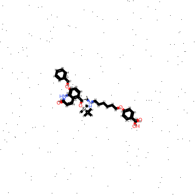 CC(C)(C)[Si](C)(C)O[C@@H](CNCCCCCCOc1ccc(C(=O)O)cc1)c1ccc(OCc2ccccc2)c2[nH]c(=O)ccc12